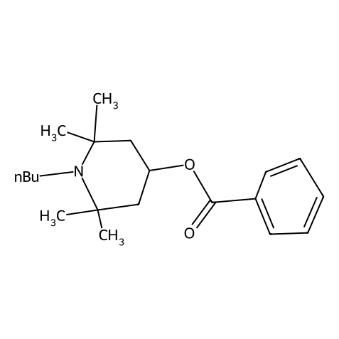 CCCCN1C(C)(C)CC(OC(=O)c2ccccc2)CC1(C)C